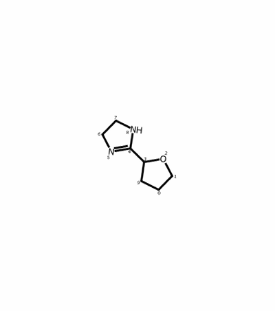 C1COC(C2=NCCN2)C1